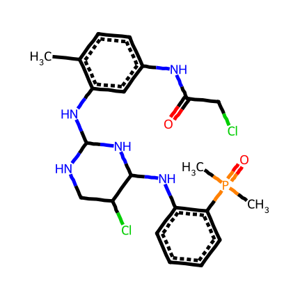 Cc1ccc(NC(=O)CCl)cc1NC1NCC(Cl)C(Nc2ccccc2P(C)(C)=O)N1